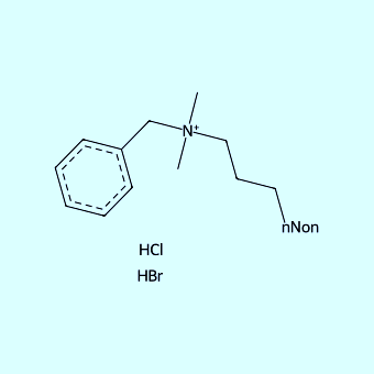 Br.CCCCCCCCCCCC[N+](C)(C)Cc1ccccc1.Cl